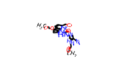 COCCNc1cc(NC(=O)N2c3nc(C=O)ccc3C3(OCCOC)CC2C3)ncc1C#N